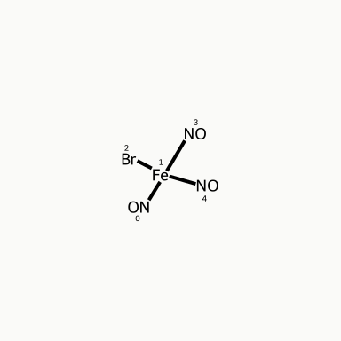 O=[N][Fe]([Br])([N]=O)[N]=O